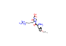 COc1ccc(CC(N)C(=O)N2CCN(CC(=O)O)C(=O)[C@@H]2CCCCNC(=N)N)cc1